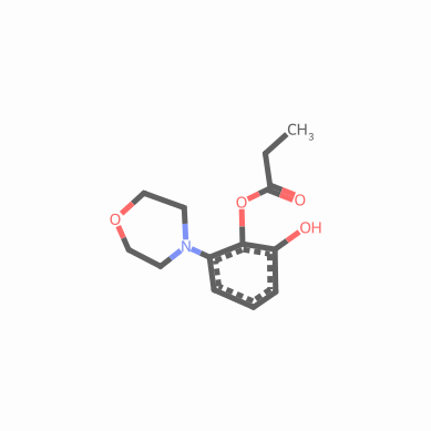 CCC(=O)Oc1c(O)cccc1N1CCOCC1